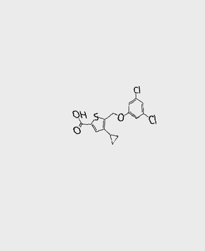 O=C(O)c1cc(C2CC2)c(COc2cc(Cl)cc(Cl)c2)s1